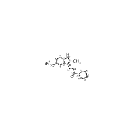 Cc1[nH]c2ccc(OC(C)C)cc2c1/C=C/C(=O)c1ccncc1